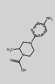 CC1CN(c2ccc(N)cn2)CCN1C(=O)O